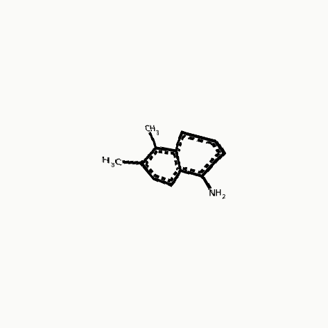 Cc1ccc2c(N)cccc2c1C